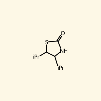 CC(C)C1NC(=O)SC1C(C)C